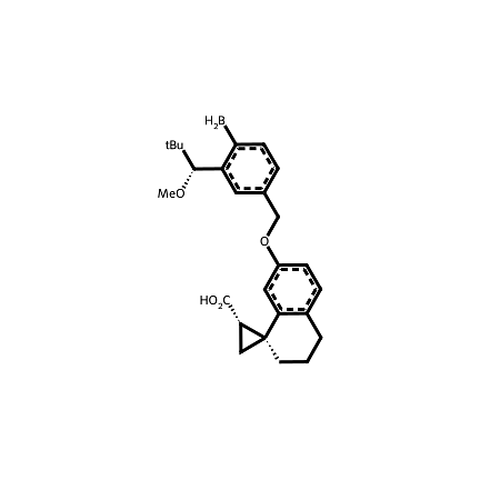 Bc1ccc(COc2ccc3c(c2)[C@@]2(CCC3)C[C@@H]2C(=O)O)cc1[C@H](OC)C(C)(C)C